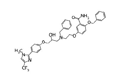 Cn1cc(C(F)(F)F)nc1-c1ccc(OCC(O)CN(CCOc2ccc(OCc3ccccc3)c(C(N)=O)c2)Cc2ccccc2)cc1